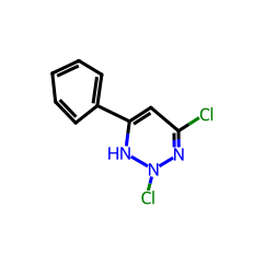 ClC1=NN(Cl)NC(c2ccccc2)=C1